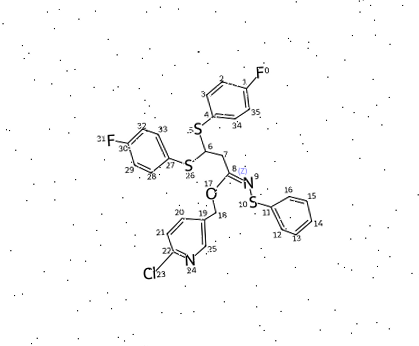 Fc1ccc(SC(C/C(=N/Sc2ccccc2)OCc2ccc(Cl)nc2)Sc2ccc(F)cc2)cc1